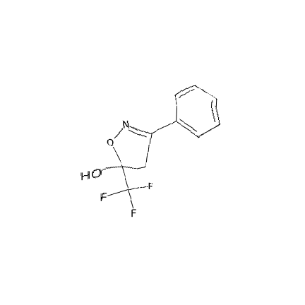 OC1(C(F)(F)F)CC(c2ccccc2)=NO1